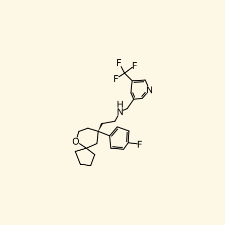 Fc1ccc([C@@]2(CCNCc3cncc(C(F)(F)F)c3)CCOC3(CCCC3)C2)cc1